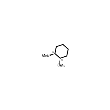 CN[C@H]1CCCC[C@@H]1OC